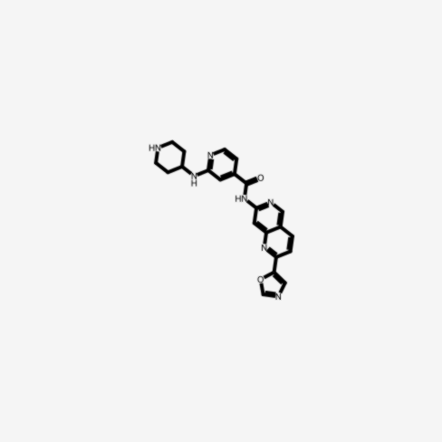 O=C(Nc1cc2nc(-c3cnco3)ccc2cn1)c1ccnc(NC2CCNCC2)c1